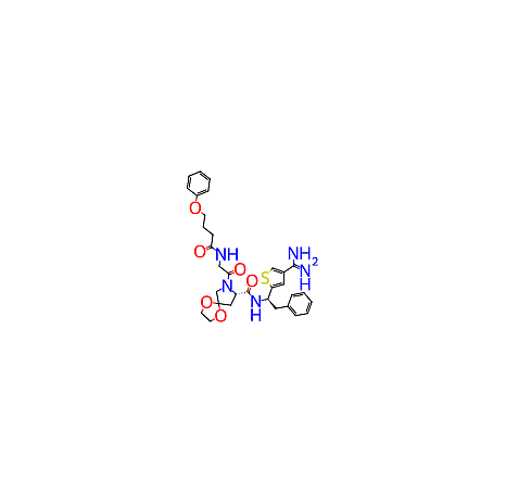 N=C(N)c1csc([C@@H](Cc2ccccc2)NC(=O)[C@@H]2CC3(CN2C(=O)CNC(=O)CCCOc2ccccc2)OCCO3)c1